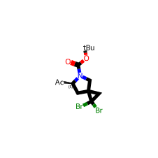 CC(=O)[C@@H]1CC2(CN1C(=O)OC(C)(C)C)CC2(Br)Br